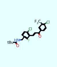 CC(C)(C)C(=O)NCc1ccc(Cl)c(/C=C/C(=O)c2ccc(Cl)c(C(F)(F)F)c2)c1F